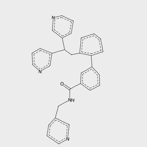 O=C(NCc1cccnc1)c1cccc(-c2ccccc2CC(c2cccnc2)c2cccnc2)c1